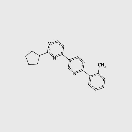 Cc1ccccc1-c1ccc(-c2ccnc(C3CCCC3)n2)cn1